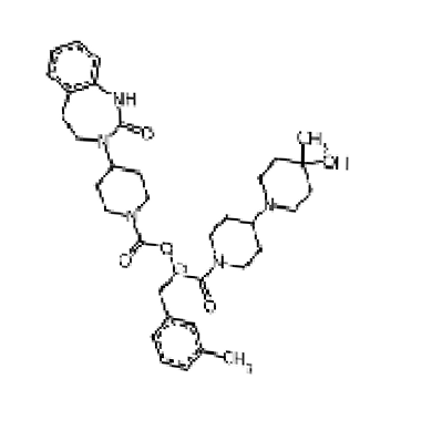 Cc1cccc(C[C@@H](OC(=O)N2CCC(N3CCc4ccccc4NC3=O)CC2)C(=O)N2CCC(N3CCC(C)(O)CC3)CC2)c1